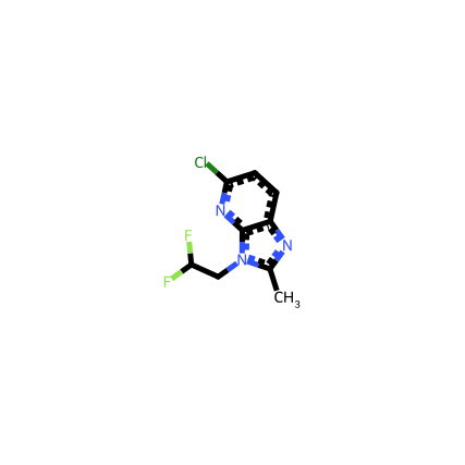 Cc1nc2ccc(Cl)nc2n1CC(F)F